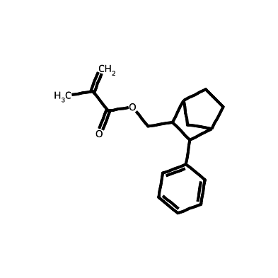 C=C(C)C(=O)OCC1C2CCC(C2)C1c1ccccc1